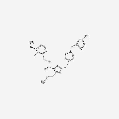 COCc1nn(Cc2ccc(Cn3cc(C)cn3)cc2)cc1C(=O)NCc1nccc(OC)c1F